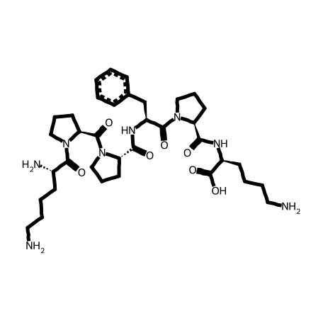 NCCCC[C@H](NC(=O)[C@@H]1CCCN1C(=O)[C@H](Cc1ccccc1)NC(=O)[C@@H]1CCCN1C(=O)[C@@H]1CCCN1C(=O)[C@@H](N)CCCCN)C(=O)O